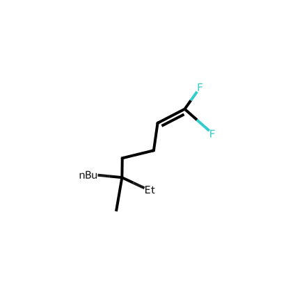 CCCCC(C)(CC)CCC=C(F)F